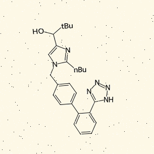 CCCCc1nc(C(O)C(C)(C)C)cn1Cc1ccc(-c2ccccc2-c2nnn[nH]2)cc1